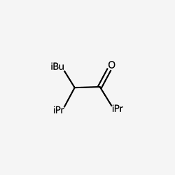 CCC(C)C(C(=O)C(C)C)C(C)C